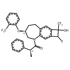 C[C@H](C(=O)N1C[C@@H](Oc2ccccc2C(F)(F)F)CCc2cc3c(cc21)C(F)C3(O)C(F)(F)F)c1ccccc1